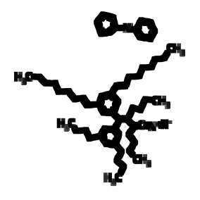 CCCCCCCC=Cc1cc(C=CCCCCCCC)cc(C(=C(CCCC)C(=C=[N+]=[N-])CCCC)c2cc(CCCC)cc(CCCC)c2)c1.c1cc[c]([Ni][c]2ccccc2)cc1